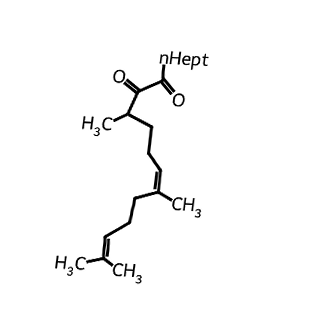 CCCCCCCC(=O)C(=O)C(C)CCC=C(C)CCC=C(C)C